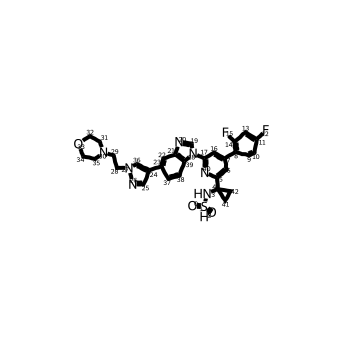 O=[SH](=O)NC1(c2cc(-c3ccc(F)cc3F)cc(-n3cnc4cc(-c5cnn(CCN6CCOCC6)c5)ccc43)n2)CC1